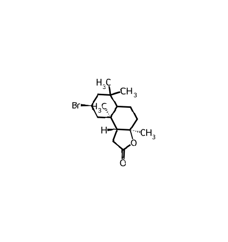 CC1(C)C[C@H](Br)C[C@@]2(C)C1CC[C@@]1(C)OC(=O)C[C@@H]12